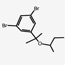 CCC(C)OC(C)(C)c1cc(Br)cc(Br)c1